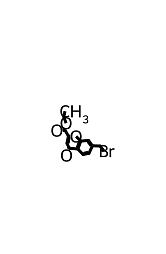 CCOC(=O)c1cc(=O)c2ccc(CBr)cc2o1